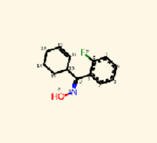 ON=C(c1ccccc1F)C1C=CCCC1